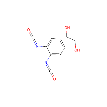 O=C=Nc1ccccc1N=C=O.OCCO